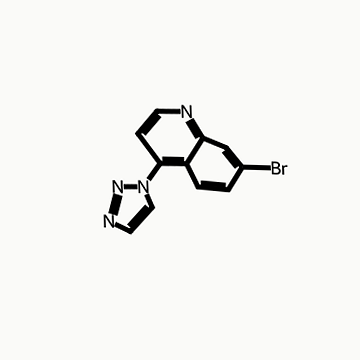 Brc1ccc2c(-n3ccnn3)ccnc2c1